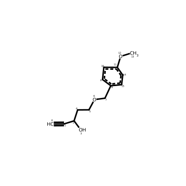 C#CC(O)CCOCc1ccc(OC)cc1